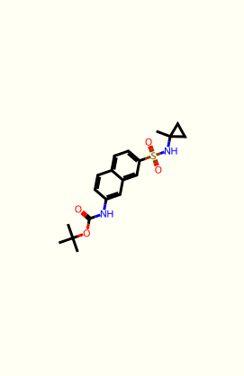 CC1(NS(=O)(=O)c2ccc3ccc(NC(=O)OC(C)(C)C)cc3c2)CC1